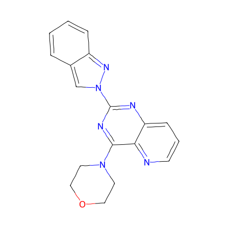 c1ccc2nn(-c3nc(N4CCOCC4)c4ncccc4n3)cc2c1